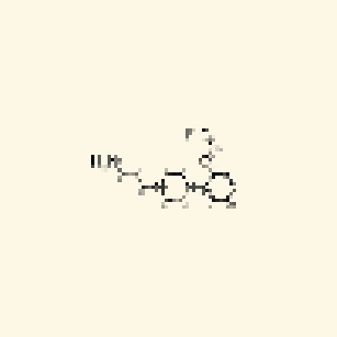 NCCCN1CCN(c2ccccc2OCC(F)(F)F)CC1